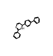 C1=CC(c2ccc(-c3ccccc3)cc2)NC(c2ccccc2)=N1